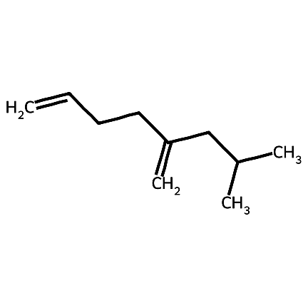 C=CCCC(=C)CC(C)C